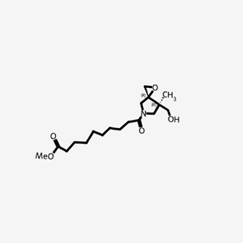 COC(=O)CCCCCCCCC(=O)N1C[C@](C)(CO)[C@]2(CO2)C1